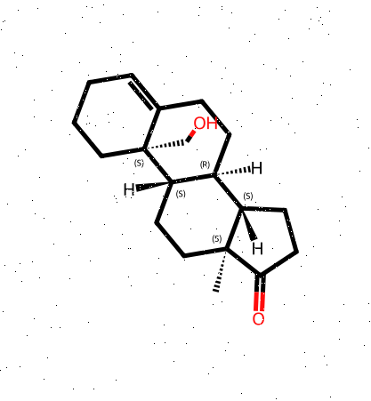 C[C@]12CC[C@H]3[C@@H](CCC4=CCCC[C@@]43CO)[C@@H]1CCC2=O